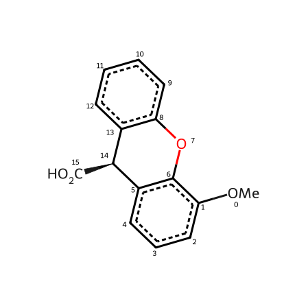 COc1cccc2c1Oc1ccccc1[C@@H]2C(=O)O